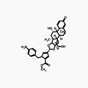 COC(=O)c1cc([C@@H]2O[C@@H]3C[C@H]4[C@@H]5CCC6=CC(=O)C=C[C@]6(C)[C@H]5[C@@H](O)C[C@]4(C)[C@]3(C(=O)CO)O2)cn1Cc1ccc(N)cc1